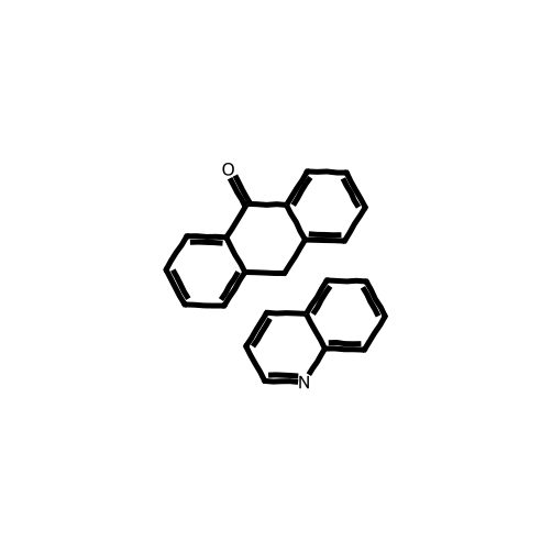 O=C1c2ccccc2Cc2ccccc21.c1ccc2ncccc2c1